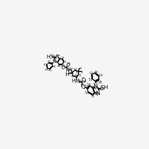 CC1(C)CC(NC(=O)Oc2ccc3nc(S)n(-c4ccccc4)c3c2)CC(C)(CNC(=O)Oc2ccc3nc(S)n(-c4ccccc4)c3c2)C1